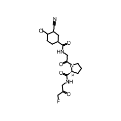 N#CC1CC(C(=O)NCC(=O)N2CCC[C@H]2C(=O)NCC(=O)CF)CCC1Cl